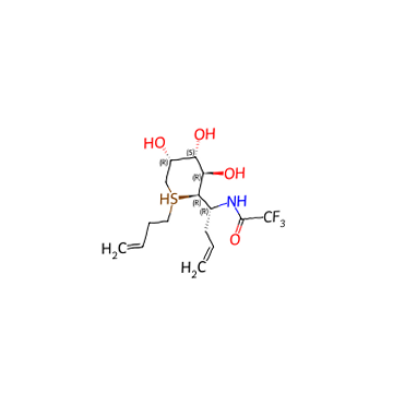 C=CCC[SH]1C[C@H](O)[C@H](O)[C@@H](O)[C@H]1[C@@H](CC=C)NC(=O)C(F)(F)F